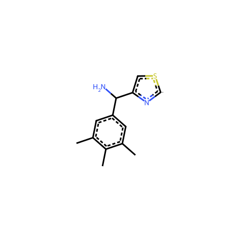 Cc1cc(C(N)c2cs[c]n2)cc(C)c1C